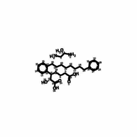 NCCN.O.O=C(O)CCS[C@H](c1ccccc1CCCCCCCCc1ccccc1)[C@@H](O)C(=O)O